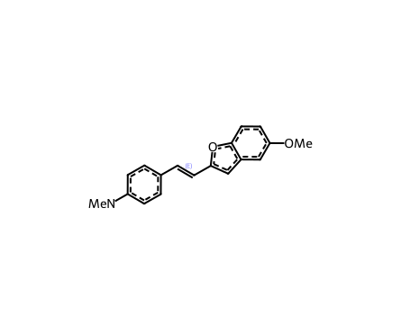 CNc1ccc(/C=C/c2cc3cc(OC)ccc3o2)cc1